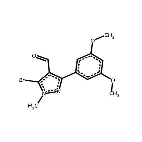 COc1cc(OC)cc(-c2nn(C)c(Br)c2C=O)c1